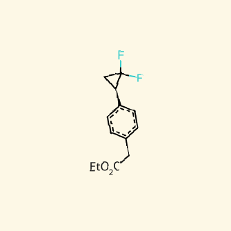 CCOC(=O)Cc1ccc([C@H]2CC2(F)F)cc1